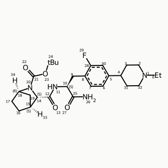 CCN1CCC(c2ccc(C[C@H](NC(=O)[C@@H]3[C@H]4CC[C@H](C4)N3C(=O)OC(C)(C)C)C(N)=O)c(F)c2)CC1